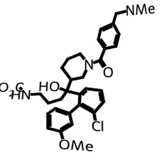 CNCc1ccc(C(=O)N2CCCC(C(O)(CCCNC(=O)O)c3cccc(Cl)c3-c3cccc(OC)c3)C2)cc1